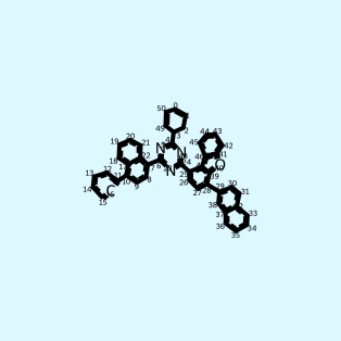 C1=CCC(c2nc(-c3ccc(-c4ccccc4)c4ccccc34)nc(-c3ccc(-c4ccc5ccccc5c4)c4oc5ccccc5c34)n2)C=C1